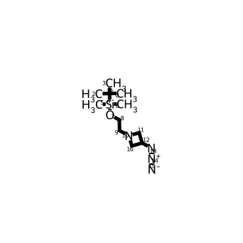 CC(C)(C)[Si](C)(C)OCCN1CC(N=[N+]=[N-])C1